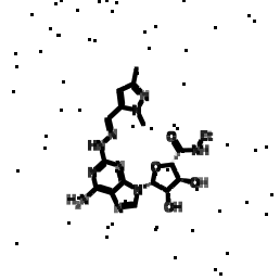 CCNC(=O)[C@H]1O[C@@H](n2cnc3c(N)nc(N/N=C/c4cc(C)nn4C)nc32)[C@H](O)[C@@H]1O